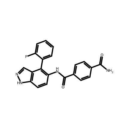 NC(=O)c1ccc(C(=O)Nc2ccc3[nH]ncc3c2-c2ccccc2F)cc1